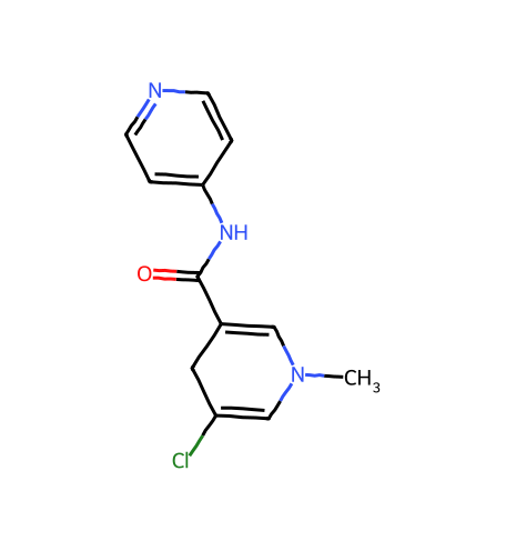 CN1C=C(Cl)CC(C(=O)Nc2ccncc2)=C1